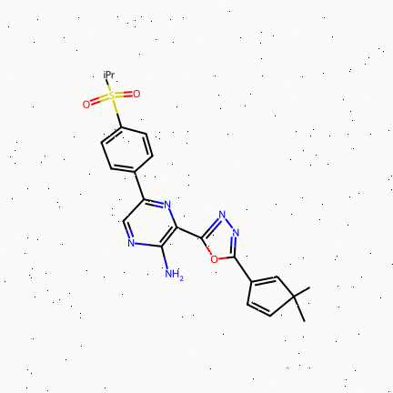 CC(C)S(=O)(=O)c1ccc(-c2cnc(N)c(-c3nnc(C4=CC(C)(C)C=C4)o3)n2)cc1